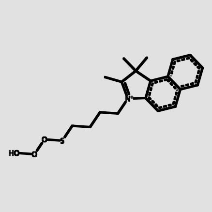 CC1=[N+](CCCCSOOO)c2ccc3ccccc3c2C1(C)C